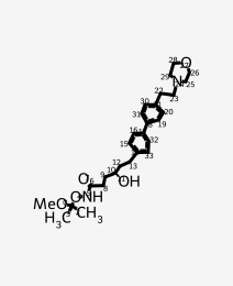 COC(C)(C)ONC(=O)CC[C@H](O)CCc1ccc(-c2ccc(CCN3CCOCC3)cc2)cc1